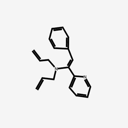 C=CCN(CC=C)C(=Cc1ccccc1)c1ccccn1